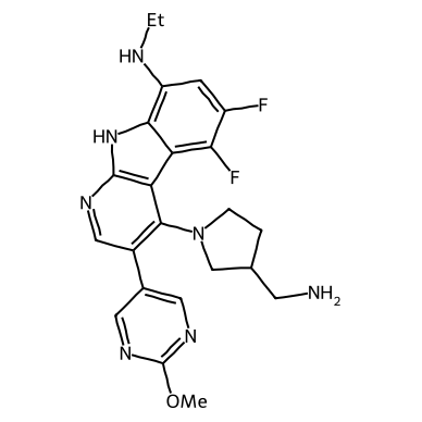 CCNc1cc(F)c(F)c2c1[nH]c1ncc(-c3cnc(OC)nc3)c(N3CCC(CN)C3)c12